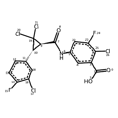 O=C(O)c1cc(NC(=O)[C@H]2[C@H](c3ccc(F)c(Cl)c3)C2(Cl)Cl)cc(F)c1Cl